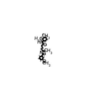 COc1cccc(-c2nc(CCCC(=O)NC3CCCC(C)C3C)c(C)o2)c1